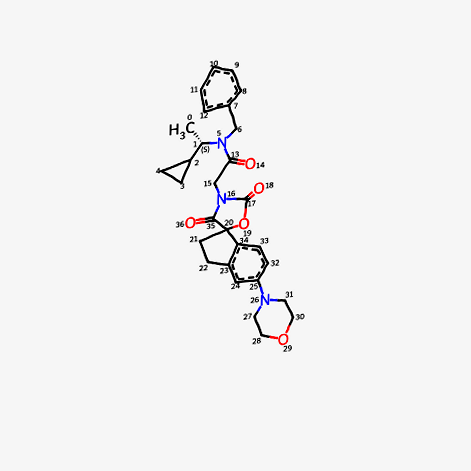 C[C@@H](C1CC1)N(Cc1ccccc1)C(=O)CN1C(=O)OC2(CCc3cc(N4CCOCC4)ccc32)C1=O